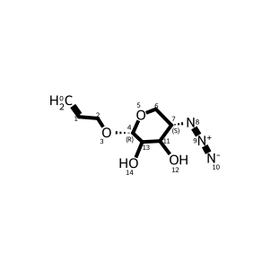 C=CCO[C@@H]1OC[C@H](N=[N+]=[N-])C(O)C1O